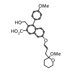 COc1ccc(-c2c(CO)c(C(=O)O)cc3cc(OC=CCC4(OC)CCCCO4)ccc23)cc1